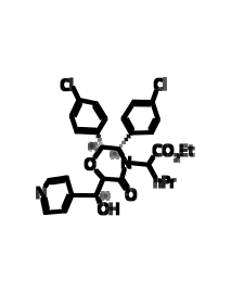 CCCC(C(=O)OCC)N1C(=O)C([C@@H](O)c2ccncc2)O[C@H](c2ccc(Cl)cc2)[C@@H]1c1ccc(Cl)cc1